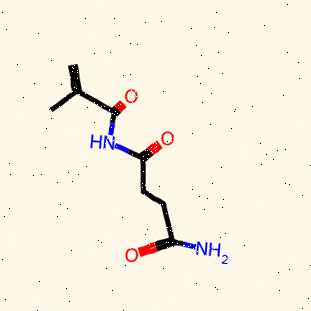 C=C(C)C(=O)NC(=O)CCC(N)=O